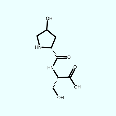 O=C(O)[C@H](CO)NC(=O)[C@H]1CC(O)CN1